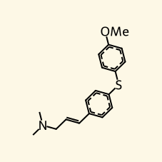 COc1ccc(Sc2ccc(C=CCN(C)C)cc2)cc1